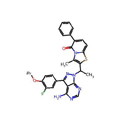 Cc1c(C(C)n2nc(-c3ccc(OC(C)C)c(F)c3)c3c(N)ncnc32)sc2ccc(-c3ccccc3)c(=O)n12